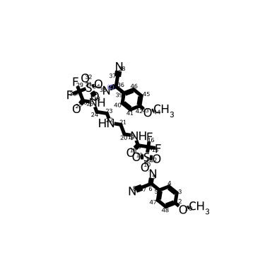 COc1ccc(C(C#N)=NOS(=O)(=O)C(F)(F)C(=O)NCCNCCNC(=O)C(F)(F)S(=O)(=O)O/N=C(\C#N)c2ccc(OC)cc2)cc1